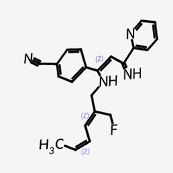 C/C=C\C=C(/CF)CN/C(=C\C(=N)c1ccccn1)c1ccc(C#N)cc1